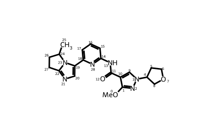 COc1nn(C2CCOC2)cc1C(=O)Nc1cccc(-c2cnc3n2C(C)CC3)n1